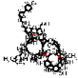 CN[C@H](CC(C)C)C(=O)N[C@H]1C(=O)N[C@@H](CC(N)=O)C(=O)N[C@H]2C(=O)N[C@H]3C(=O)N[C@H](C(=O)N[C@@H](C(=O)O)c4cc(O)cc(O)c4-c4cc3ccc4O)[C@H](C3C[C@](C)(N)[C@@H](O)[C@H](C)O3)c3ccc(c(Cl)c3)Oc3cc2cc(c3O[C@@H]2O[C@H](CO)[C@@H](O[C@@H]3OC(CNCc4ccc(-c5ccc(Cl)cc5)s4)=C[C@H](O)[C@H]3O)[C@H](O)[C@H]2O)Oc2ccc(cc2Cl)[C@H]1O